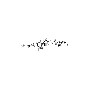 CCCCCCC/C=C/c1ccc(-c2ncc(CCCCCC(C)F)cn2)c(F)c1F